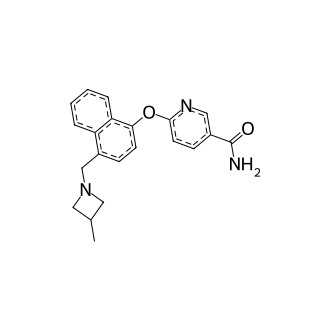 CC1CN(Cc2ccc(Oc3ccc(C(N)=O)cn3)c3ccccc23)C1